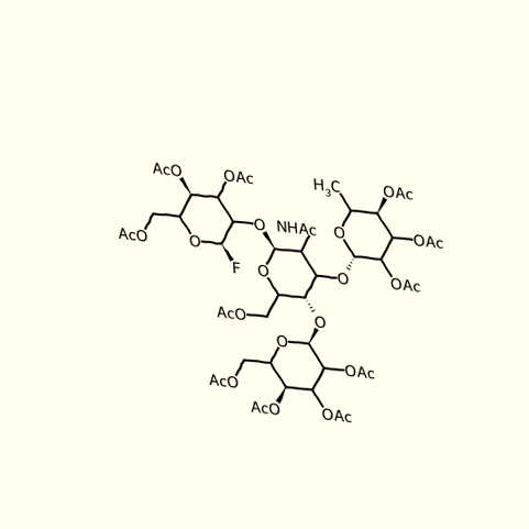 CC(=O)NC1C(O[C@@H]2OC(C)[C@@H](OC(C)=O)C(OC(C)=O)C2OC(C)=O)[C@H](O[C@@H]2OC(COC(C)=O)[C@H](OC(C)=O)C(OC(C)=O)C2OC(C)=O)C(COC(C)=O)O[C@H]1OC1C(OC(C)=O)[C@H](OC(C)=O)C(COC(C)=O)O[C@@H]1F